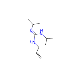 C=CCN/C(=N/C(C)C)NC(C)C